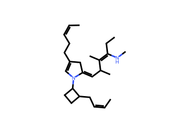 C/C=C\CCC1=CN(C2CCC2C/C=C\C)/C(=C/C(C)/C(C)=C(/CC)NC)C1